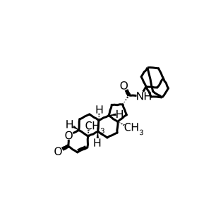 C[C@]12CC[C@H]3[C@@H](CC[C@H]4OC(=O)C=C[C@@]43C)[C@@H]1C[C@H](C(=O)NC13CC4CC(CC(C4)C1)C3)C2